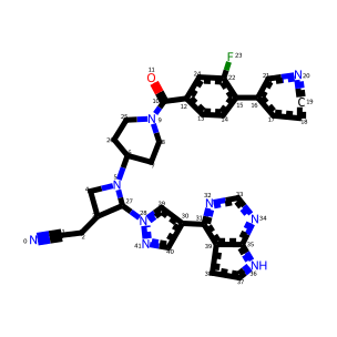 N#CCC1CN(C2CCN(C(=O)c3ccc(-c4cccnc4)c(F)c3)CC2)C1n1cc(-c2ncnc3[nH]ccc23)cn1